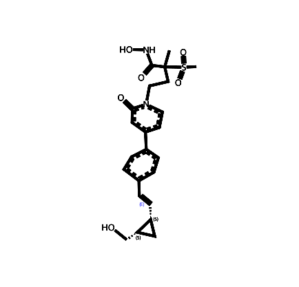 CC(CCn1ccc(-c2ccc(/C=C/[C@@H]3C[C@@H]3CO)cc2)cc1=O)(C(=O)NO)S(C)(=O)=O